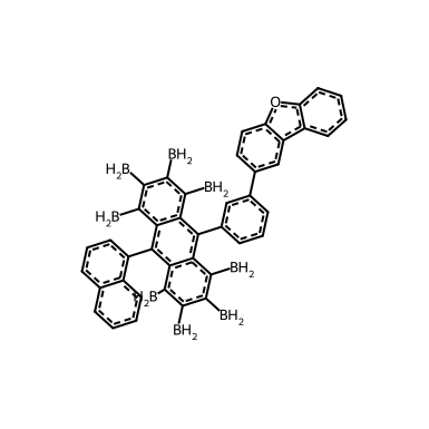 Bc1c(B)c(B)c2c(-c3cccc4ccccc34)c3c(B)c(B)c(B)c(B)c3c(-c3cccc(-c4ccc5oc6ccccc6c5c4)c3)c2c1B